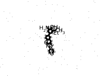 CCC(C)(C)c1cc(-c2cccc(CC3SC(N4CCOCC4)=NC3=O)c2)cc(N)c1O